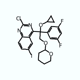 Fc1cc(F)cc(C(COC2CCCCO2)(OC2CC2)c2nc(Cl)nc3ccc(I)cc23)c1